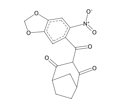 O=C(c1cc2c(cc1[N+](=O)[O-])OCO2)C1C(=O)C2CCC(C2)C1=O